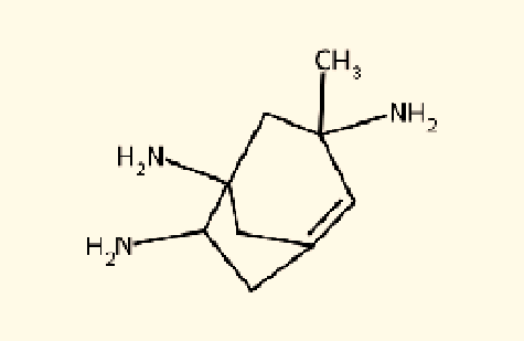 CC1(N)C=C2CC(N)C(N)(C2)C1